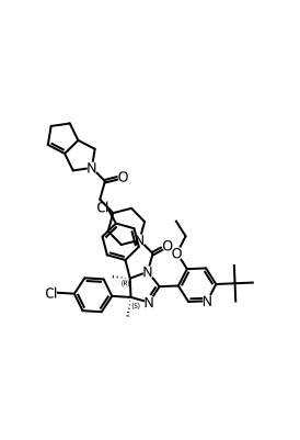 CCOc1cc(C(C)(C)C)ncc1C1=N[C@@](C)(c2ccc(Cl)cc2)[C@@](C)(c2ccc(Cl)cc2)N1C(=O)N1CCC(CC(=O)N2CC3=CCCC3C2)CC1